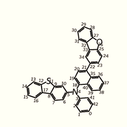 c1ccc(N(c2ccc3c(c2)sc2ccccc23)c2ccc(-c3ccc4oc5ccccc5c4c3)c3ccccc23)cc1